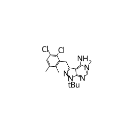 Cc1cc(Cl)c(Cl)c(Cc2nn(C(C)(C)C)c3ncnc(N)c23)c1C